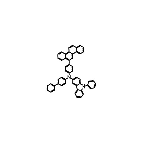 c1ccc(-c2ccc(N(c3ccc(-c4cc5c6ccccc6ccc5c5ccccc45)cc3)c3ccc4c(c3)c3ccccc3n4-c3ccccc3)cc2)cc1